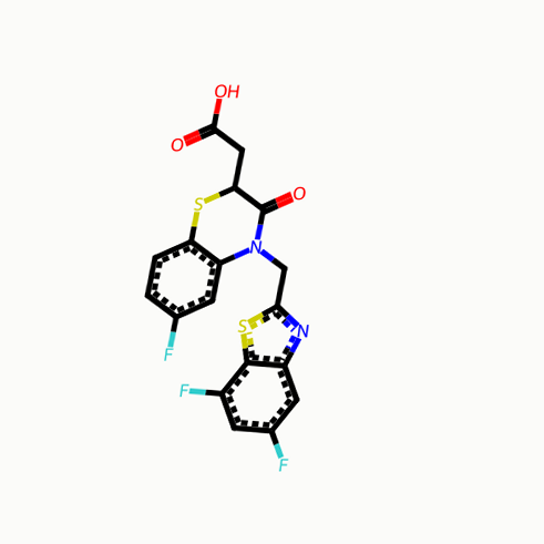 O=C(O)CC1Sc2ccc(F)cc2N(Cc2nc3cc(F)cc(F)c3s2)C1=O